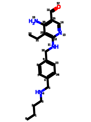 CCCCNCc1ccc(CNc2ncc(C=O)c(N)c2CC)cc1